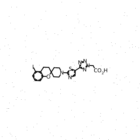 O=C(O)Cn1nnc(-c2cnc(N3CCC4(CCc5c(I)cccc5O4)CC3)s2)n1